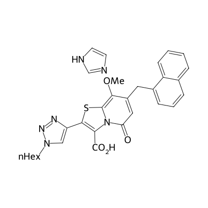 CCCCCCn1cc(-c2sc3c(OC)c(Cc4cccc5ccccc45)cc(=O)n3c2C(=O)O)nn1.c1c[nH]cn1